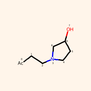 CC(=O)CCN1CCC(O)C1